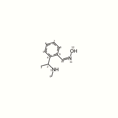 CNC(C)c1ccccc1/C=N\O